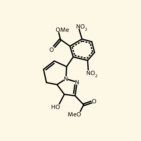 COC(=O)C1=NN2C(c3c([N+](=O)[O-])ccc([N+](=O)[O-])c3C(=O)OC)C=CCC2C1O